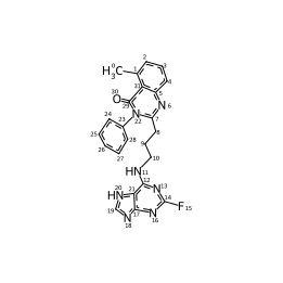 Cc1cccc2nc(CCCNc3nc(F)nc4nc[nH]c34)n(-c3ccccc3)c(=O)c12